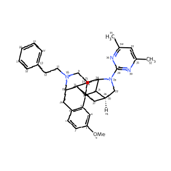 COc1ccc2c(c1)C13CCN(CCc4ccccc4)C(C2)C12CCC1C3[C@@H](CN1c1nc(C)cc(C)n1)C2